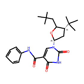 CC(C)(C)CC1O[C@@H](n2cc(C(=O)Nc3ccccc3)c(=O)[nH]c2=O)C[C@H]1C(C)(C)C